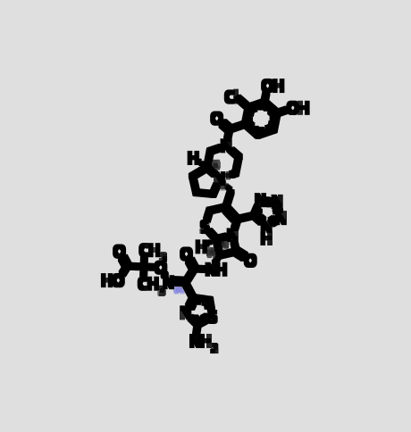 CC(C)(O/N=C(\C(=O)N[C@@H]1C(=O)N2C(c3nnn[nH]3)=C(C[N@+]34CCC[C@H]3CN(C(=O)c3ccc(O)c(O)c3Cl)CC4)CS[C@H]12)c1csc(N)n1)C(=O)O